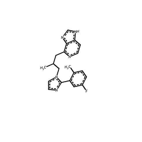 Cc1ccc(F)cc1-c1nccn1CC(C)Cc1nccc2[nH]cnc12